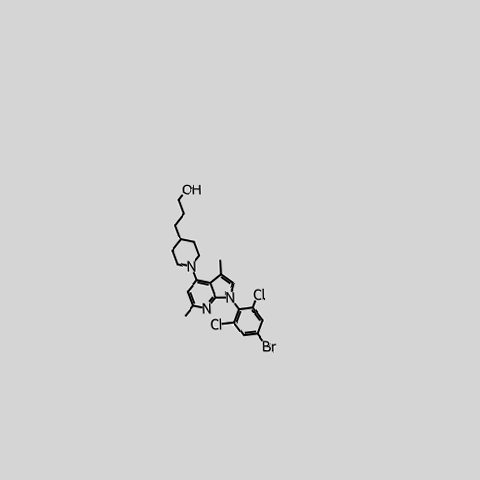 Cc1cc(N2CCC(CCCO)CC2)c2c(C)cn(-c3c(Cl)cc(Br)cc3Cl)c2n1